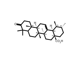 C[C@H]1[C@H](C)CC[C@]2(C(=O)O)CC[C@]3(C)C(=CC[C@@H]4[C@@]5(C)CCC(=O)C(C)(C)C5CC[C@]43C)[C@@H]12